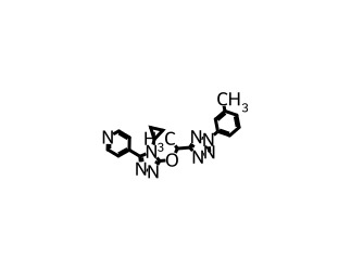 Cc1cccc(-n2nnc(C(C)Oc3nnc(-c4ccncc4)n3C3CC3)n2)c1